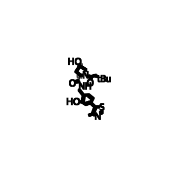 Cc1ncsc1-c1ccc(CNC(=O)[C@@H]2C[C@@H](O)CN2C(=O)CC(C)(C)C)c(O)c1